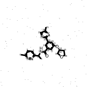 Cc1ccc(C(C)NC(=O)c2cc(O[C@H]3CCOC3)cc(-c3ncc(C)s3)c2)nn1